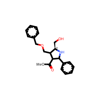 COC(=O)C1C(c2ccccc2)N[C@H](CO)C1COCc1ccccc1